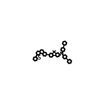 CC1(C)c2cc(-c3ccc4c(ccc5ccc6c7ccccc7sc6c54)c3)ccc2-c2ccc(N(c3ccc(-c4ccccc4)cc3)c3ccc(-c4ccccc4)cc3)cc21